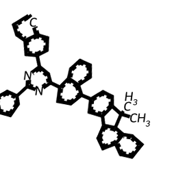 CC1(C)c2ccc(-c3ccc(-c4cc(-c5ccc6ccccc6c5)nc(-c5ccccc5)n4)c4ccccc34)cc2-c2ccc3ccccc3c21